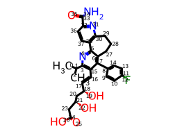 CC(C)c1nc2c(c(-c3ccc(F)cc3)c1/C=C/[C@@H](O)C[C@@H](O)CC(=O)O)CCCc1nc(C(N)=O)ccc1-2